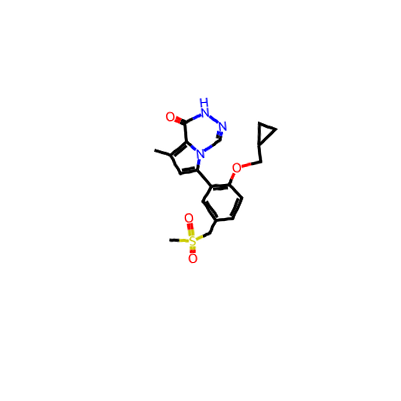 Cc1cc(-c2cc(CS(C)(=O)=O)ccc2OCC2CC2)n2cn[nH]c(=O)c12